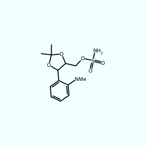 CNc1ccccc1C1OC(C)(C)OC1COS(N)(=O)=O